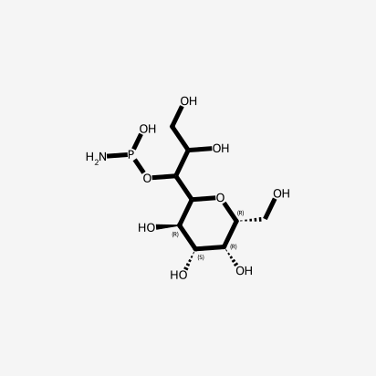 NP(O)OC(C(O)CO)C1O[C@H](CO)[C@H](O)[C@H](O)[C@H]1O